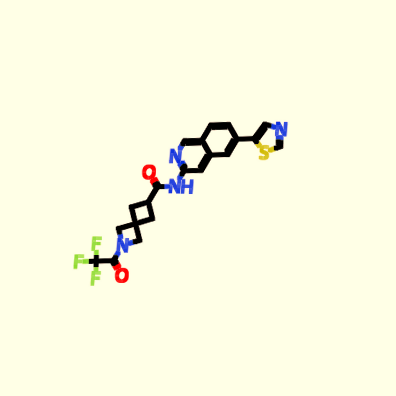 O=C(Nc1cc2cc(-c3cncs3)ccc2cn1)C1CC2(C1)CN(C(=O)C(F)(F)F)C2